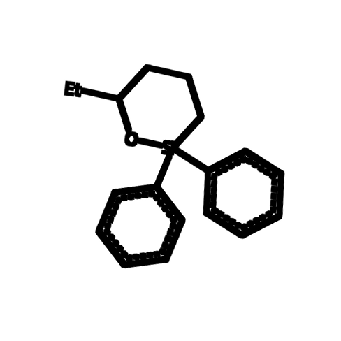 CCC1CCC[Si](c2ccccc2)(c2ccccc2)O1